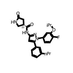 CCCc1cccc(-c2cc(NC(=O)[C@@H]3CNC(=O)C3)nn2-c2ccc(F)c(OC(C)C)c2)c1